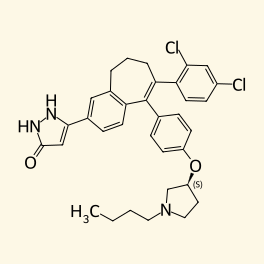 CCCCN1CC[C@H](Oc2ccc(C3=C(c4ccc(Cl)cc4Cl)CCCc4cc(-c5cc(=O)[nH][nH]5)ccc43)cc2)C1